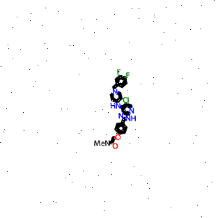 CNC(=O)COc1ccc(-c2nc3c(NC4CCN(Cc5ccc(F)c(F)c5)CC4)c(Cl)cnc3[nH]2)cc1